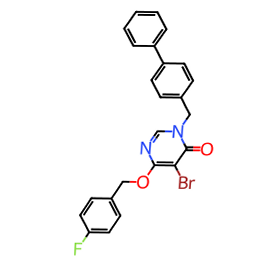 O=c1c(Br)c(OCc2ccc(F)cc2)ncn1Cc1ccc(-c2ccccc2)cc1